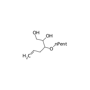 C=CCC(OCCCCC)C(O)CO